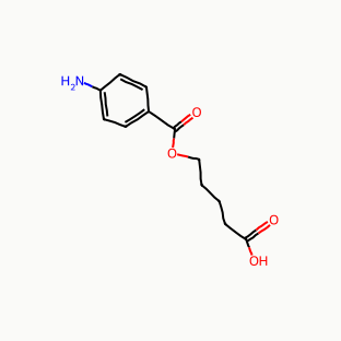 Nc1ccc(C(=O)OCCCCC(=O)O)cc1